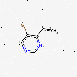 C=Cc1ncncc1Br